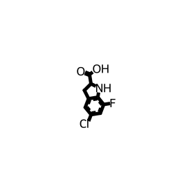 O=C(O)C1Cc2cc(Cl)cc(F)c2N1